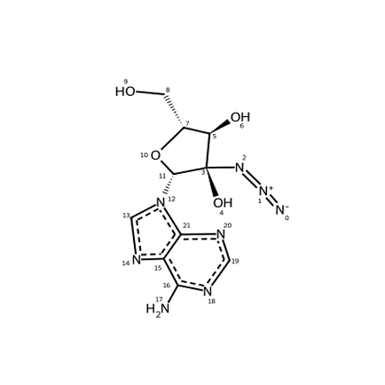 [N-]=[N+]=N[C@@]1(O)[C@H](O)[C@@H](CO)O[C@H]1n1cnc2c(N)ncnc21